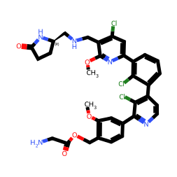 COc1cc(-c2nccc(-c3cccc(-c4cc(Cl)c(CNC[C@H]5CCC(=O)N5)c(OC)n4)c3Cl)c2Cl)ccc1COC(=O)CN